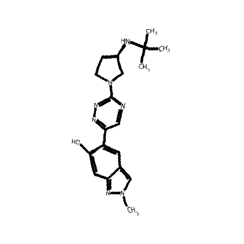 Cn1cc2cc(-c3cnc(N4CCC(NC(C)(C)C)C4)nn3)c(O)cc2n1